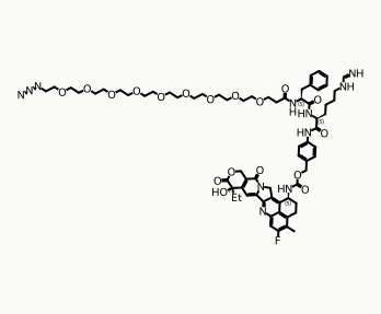 CC[C@@]1(O)C(=O)OCc2c1cc1n(c2=O)Cc2c-1nc1cc(F)c(C)c3c1c2[C@@H](NC(=O)OCc1ccc(NC(=O)[C@H](CCCCNC=N)NC(=O)[C@H](Cc2ccccc2)NC(=O)CCOCCOCCOCCOCCOCCOCCOCCOCCOCCN=[N+]=[N-])cc1)CC3